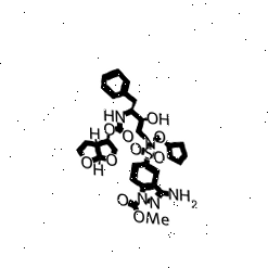 COC(=O)n1nc(N)c2cc(S(=O)(=O)N(C[C@H](O)[C@H](Cc3ccccc3)NC(=O)O[C@H]3CO[C@H]4OCC[C@H]43)OC3CCCC3)ccc21